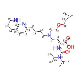 CC(C)N(C(=O)N[C@@H](CCN(CCCCc1ccc2c(n1)NCCC2)CCOCC1CC1)C(=O)O)C(C)C